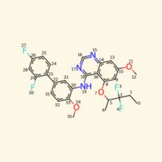 CCC(F)(F)C(C)Oc1cc(OC)cc2ncnc(Nc3cc(-c4ccc(F)cc4F)ccc3OC)c12